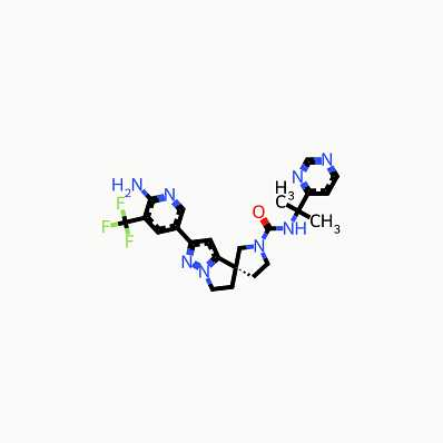 CC(C)(NC(=O)N1CC[C@@]2(CCn3nc(-c4cnc(N)c(C(F)(F)F)c4)cc32)C1)c1ccncn1